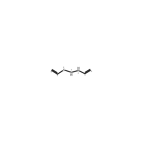 C=CNNSC=C